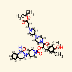 Cc1cc(C[C@@H](OC(=O)N2CCC(N3CCc4ccccc4NC3=O)CC2)C(=O)N2CCN(C3CCN(CCC(=O)OC(C)C)CC3)CC2)cc(C)c1O